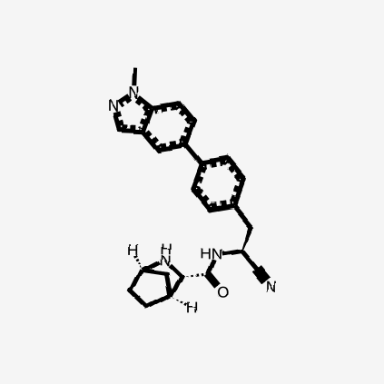 Cn1ncc2cc(-c3ccc(C[C@@H](C#N)NC(=O)[C@H]4N[C@@H]5CC[C@H]4C5)cc3)ccc21